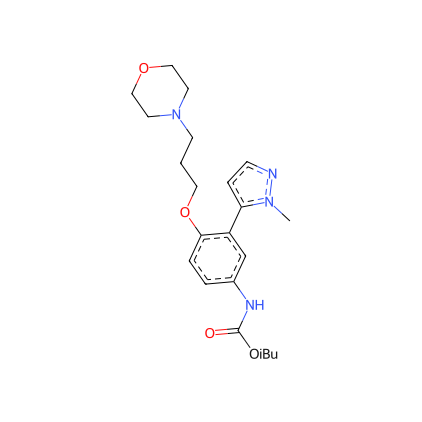 CC(C)COC(=O)Nc1ccc(OCCCN2CCOCC2)c(-c2ccnn2C)c1